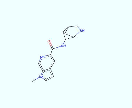 Cn1ccc2cc(C(=O)NC3CC4CNC3C4)ncc21